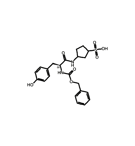 O=C(N[C@@H](Cc1ccc(O)cc1)C(=O)NC1CCC(S(=O)(=O)O)C1)OCc1ccccc1